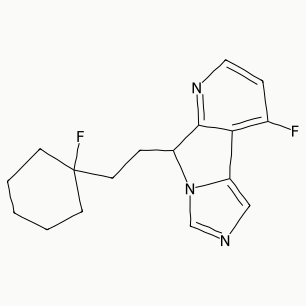 Fc1ccnc2c1-c1cncn1C2CCC1(F)CCCCC1